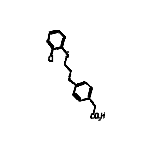 O=C(O)Cc1ccc(CCCSc2ccccc2Cl)cc1